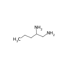 CCCC(N)CN